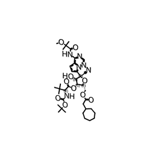 COC(C)(C)C(=O)Nc1ncnn2c([C@]3(C#N)O[C@H](COC(=O)CC4CCCCCC4)[C@@H](OC(=O)[C@H](NC(=O)OC(C)(C)C)C(C)(C)C)[C@H]3O)ccc12